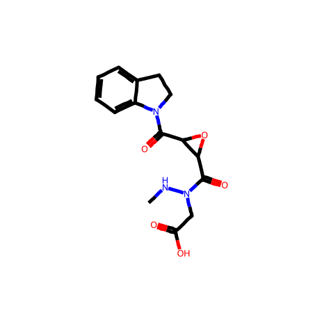 CNN(CC(=O)O)C(=O)C1OC1C(=O)N1CCc2ccccc21